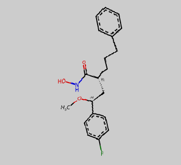 CO[C@@H](C[C@@H](CCCc1ccccc1)C(=O)NO)c1ccc(F)cc1